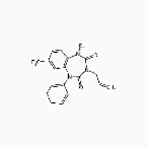 C=CCN1C(=O)N(CC)c2ccc(C(F)(F)F)cc2N(C2=CCCC=C2)C1=O